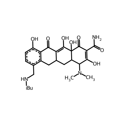 CCC(C)NCc1ccc(O)c2c1CC1CC3C(N(C)C)C(O)=C(C(N)=O)C(=O)C3(O)C(O)=C1C2=O